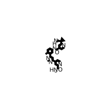 CNC(=O)c1cc(-c2cc(-c3cc(NC(=O)c4ccnc(C5(C#N)CC5)c4)ccc3C)ncn2)ccn1